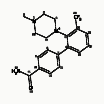 CN1CCN(c2c(-c3ccc(C(N)=O)cc3)cccc2C(F)(F)F)CC1